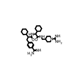 N=C(N)c1ccc(CC(C(=O)NC(C(=O)NCC2CCN(C(=N)N)CC2)C2CCCCC2)C2CCCCC2)cc1